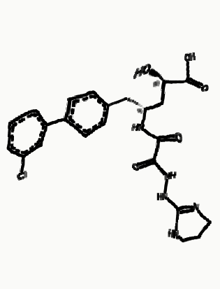 O=C(NNC1=NCCN1)C(=O)N[C@H](Cc1ccc(-c2cccc(Cl)c2)cc1)C[C@@H](O)C(=O)O